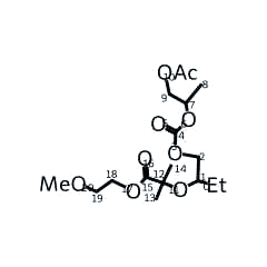 CCC(COC(=O)OC(C)COC(C)=O)OC(C)(C)C(=O)OCCOC